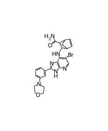 NC(=O)C1C2C=CC(C2)C1Nc1c(Br)cnc2[nH]c(-c3cccc(N4CCOCC4)c3)nc12